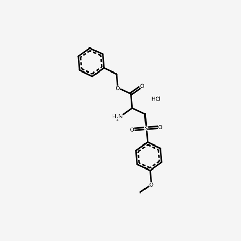 COc1ccc(S(=O)(=O)CC(N)C(=O)OCc2ccccc2)cc1.Cl